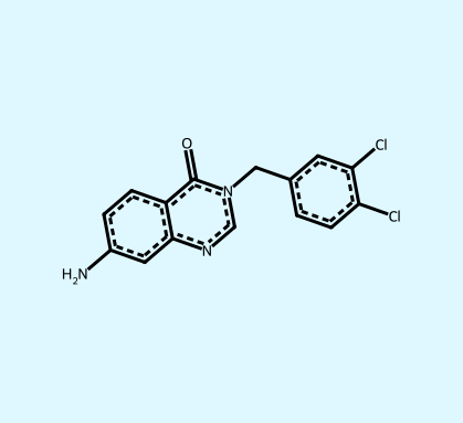 Nc1ccc2c(=O)n(Cc3ccc(Cl)c(Cl)c3)cnc2c1